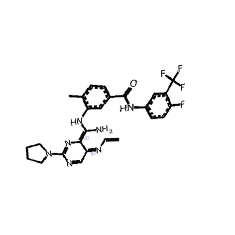 C=C/N=C1/C=NC(N2CCCC2)=N/C1=C(/N)Nc1cc(C(=O)Nc2ccc(F)c(C(F)(F)F)c2)ccc1C